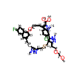 COCCOCCc1nn(C)c2c1CSCc1cc(n(C)n1)CCc1cc(c3ccc(F)cc3c1)OCCCc1c(C(=O)OC)n(C)c3c-2c(Cl)ccc13